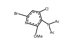 COc1nc(Br)cc(Cl)c1N(C(C)=O)C(C)=O